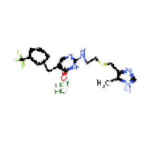 Cc1[nH]cnc1CSCCNc1ncc(Cc2cccc(C(F)(F)F)c2)c(=O)[nH]1.Cl.Cl